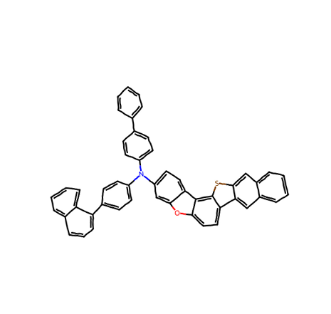 c1ccc(-c2ccc(N(c3ccc(-c4cccc5ccccc45)cc3)c3ccc4c(c3)oc3ccc5c6cc7ccccc7cc6sc5c34)cc2)cc1